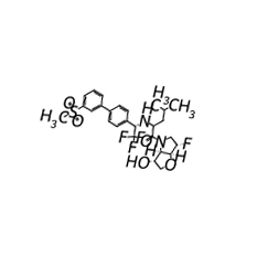 CC(C)CC(N[C@@H](c1ccc(-c2cccc(S(C)(=O)=O)c2)cc1)C(F)(F)F)C(=O)N1C[C@H](F)[C@H]2OC[C@H](O)[C@H]21